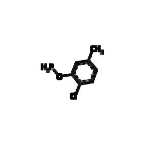 Cc1ccc(Cl)c(OP)c1